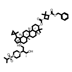 CC(C)S(=O)(=O)N1CCN(C(CN[C@]23CCC(C4(C)CC4)[C@@H]2[C@H]2CC[C@@H]4[C@@]5(C)CC[C@H](OC(=O)[C@H]6C[C@@H](C(=O)OCc7ccccc7)C6(C)C)C(C)(C)[C@@H]5CC[C@@]4(C)[C@]2(C)CC3)[C@@H](C)O)CC1